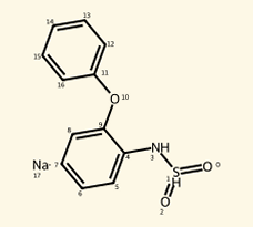 O=[SH](=O)Nc1ccccc1Oc1ccccc1.[Na]